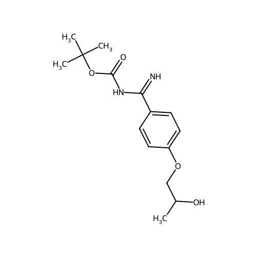 CC(O)COc1ccc(C(=N)NC(=O)OC(C)(C)C)cc1